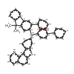 CC1(C)c2ccccc2-c2cc(-c3ccccc3)c(N(c3ccc(-c4ccccc4)cc3)c3ccc4c(c3)sc3ccc5cccnc5c34)cc21